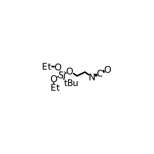 CCO[Si](OCC)(OCCN=C=O)C(C)(C)C